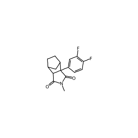 CN1C(=O)C2C3CCC(C3)C2(c2ccc(F)c(F)c2)C1=O